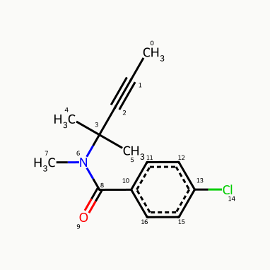 CC#CC(C)(C)N(C)C(=O)c1ccc(Cl)cc1